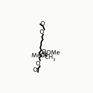 CO[Si](C)(OC)OC(CCCCCCOCC1CO1)CCCCOCC1CO1